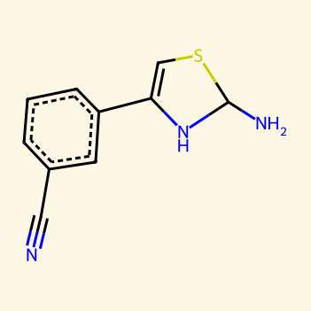 N#Cc1cccc(C2=CSC(N)N2)c1